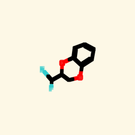 FC(F)C1COc2ccccc2O1